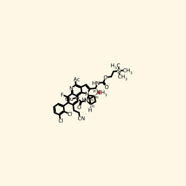 CC(=O)c1nc2c(F)c(-c3cccc(Cl)c3Cl)c(CCC#N)cc2c2c1cc([C@@H](C)NC(=O)OCC[Si](C)(C)C)n2[C@H]1[C@@H]2C[C@H]1N(C(=O)OC(C)(C)C)C2